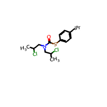 CC(Cl)CN(CC(C)Cl)C(=O)Sc1ccc(C(C)C)cc1